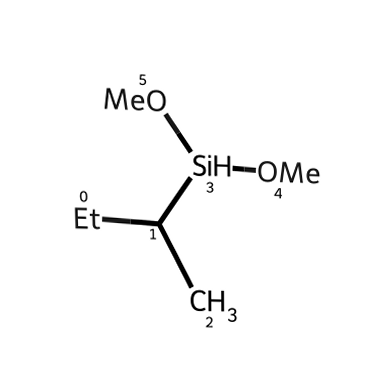 CCC(C)[SiH](OC)OC